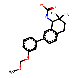 COCOc1cccc(-c2ccc3c(c2)C(NC(=O)O)C(C)(C)CC3)c1